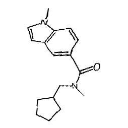 CN(CC1CCCC1)C(=O)c1ccc2c(ccn2C)c1